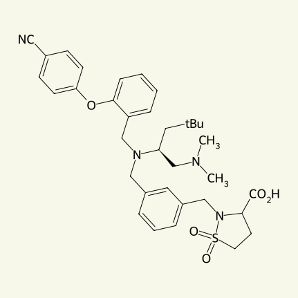 CN(C)C[C@H](CC(C)(C)C)N(Cc1cccc(CN2C(C(=O)O)CCS2(=O)=O)c1)Cc1ccccc1Oc1ccc(C#N)cc1